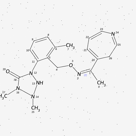 C/C(=N/OCc1c(C)cccc1N1NN(C)N(C)C1=O)C1=CC=CN=CC1